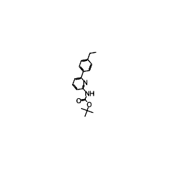 CCc1ccc(-c2cccc(NC(=O)OC(C)(C)C)n2)cc1